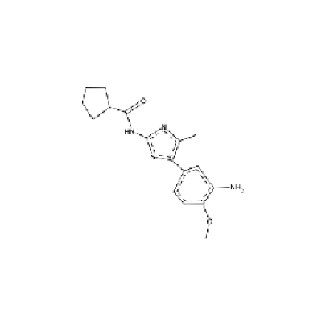 COc1ccc(-c2sc(NC(=O)C3CCCC3)nc2C)cc1N